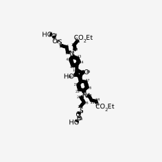 CCOC(=O)CCCN(CCCSOOO)c1ccc(C2=C(O)C(=C3C=CC(=[N+](CCCSOOO)CCCC(=O)OCC)C=C3)C2=O)cc1